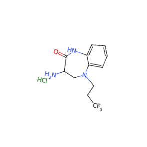 Cl.NC1CN(CCC(F)(F)F)c2ccccc2NC1=O